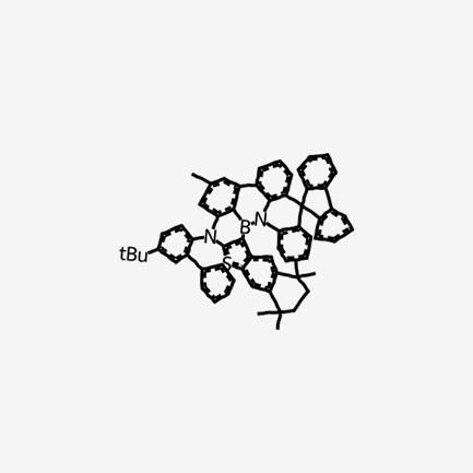 Cc1cc2c3c(c1)N(c1ccc(C(C)(C)C)cc1-c1ccccc1)c1sc4cc5c(cc4c1B3N1c3ccccc3C3(c4ccccc4-c4ccccc43)c3cccc-2c31)C(C)(C)CCC5(C)C